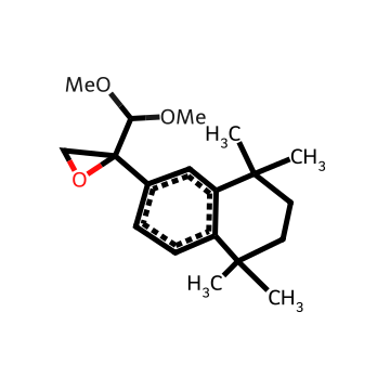 COC(OC)C1(c2ccc3c(c2)C(C)(C)CCC3(C)C)CO1